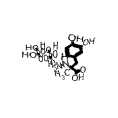 C[C@@](Cc1ccc(O)c(O)c1)(NN)C(=O)O.O=P(O)(O)O.O=P(O)(O)O